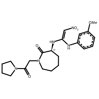 COc1cccc(NC(=C[N+](=O)[O-])N[C@H]2CCCCN(CC(=O)N3CCCC3)C2=O)c1